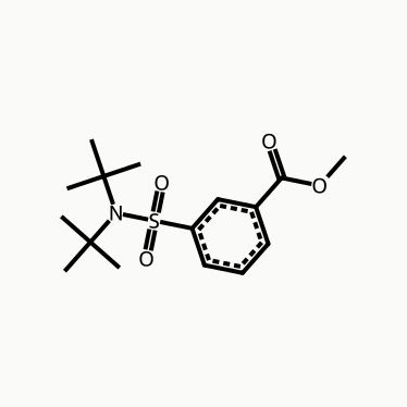 COC(=O)c1cccc(S(=O)(=O)N(C(C)(C)C)C(C)(C)C)c1